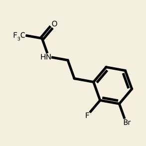 O=C(NCCc1cccc(Br)c1F)C(F)(F)F